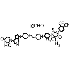 CC1(C)C(=O)N(c2ccc(C#N)c(C(F)(F)F)c2)C(=S)N1c1ccc(N2CCC(CCN3CCC(n4ccc5c(N6CCC(=O)NC6=O)cncc54)CC3)CC2)cc1.O=CO